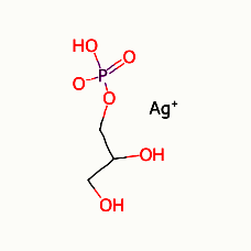 O=P([O-])(O)OCC(O)CO.[Ag+]